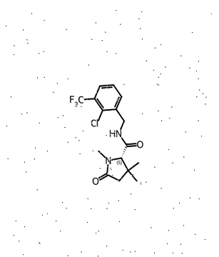 CN1C(=O)CC(C)(C)[C@H]1C(=O)NCc1cccc(C(F)(F)F)c1Cl